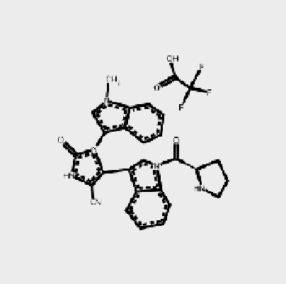 Cn1cc(-n2c(-c3cn(C(=O)[C@H]4CCCN4)c4ccccc34)c(C#N)[nH]c2=O)c2ccccc21.O=C(O)C(F)(F)F